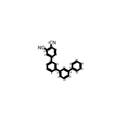 N#Cc1ccc(-c2cccc(-c3cccc(-c4ccccc4)c3)c2)cc1C#N